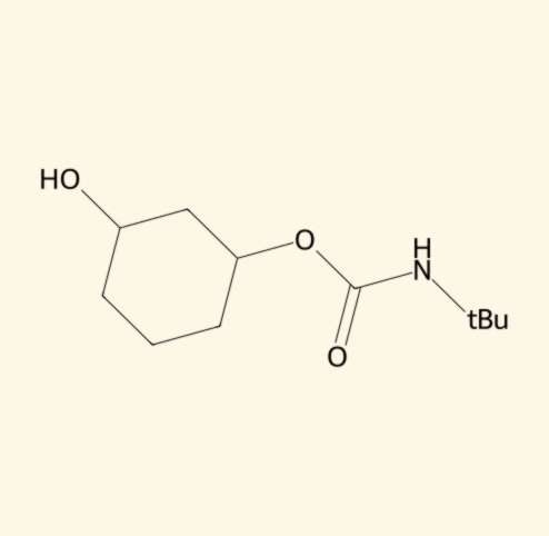 CC(C)(C)NC(=O)OC1CCCC(O)C1